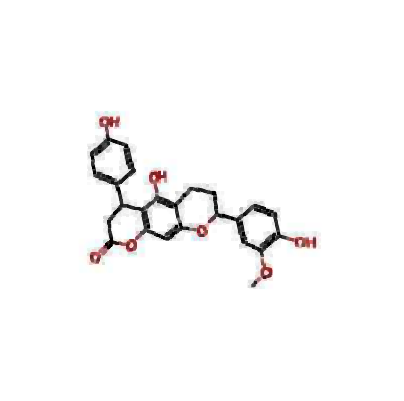 COc1cc(C2CCc3c(cc4c(c3O)C(c3ccc(O)cc3)CC(=O)O4)O2)ccc1O